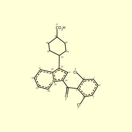 O=C(c1c(Cl)cccc1Cl)c1cc(C2CCC(C(=O)O)CC2)c2ccccn12